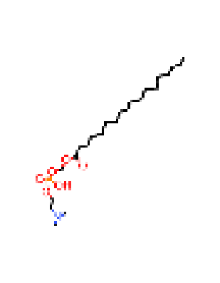 CCCCCCCCCCCCCCCCCC(=O)OCOP(=O)(O)OCCN(C)C